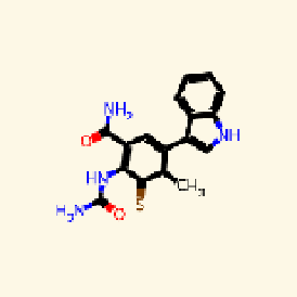 CC1C(=S)C(NC(N)=O)=C(C(N)=O)C=C1c1c[nH]c2ccccc12